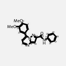 COc1ccc(-c2ccnc3cc(C(=O)Nc4ccccc4)nn23)cc1OC